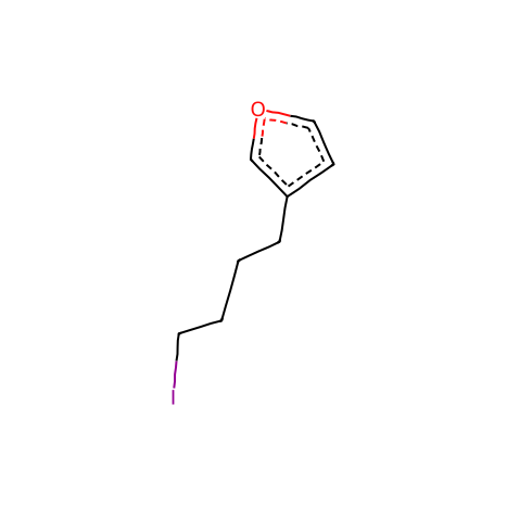 ICCCCc1ccoc1